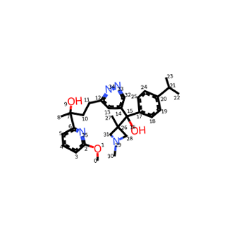 COc1cccc(C(C)(O)CCc2cc(C(O)(c3ccc(C(C)C)cc3)C3(C)CN(C)C3)cnn2)n1